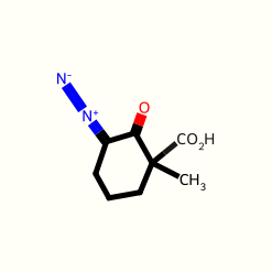 CC1(C(=O)O)CCCC(=[N+]=[N-])C1=O